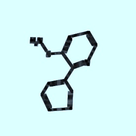 NSc1cccnc1-c1ccccc1